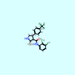 O=C(Nc1cccc(F)c1F)C1C(S)NCC1c1ccc(C(F)(F)F)cc1